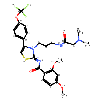 COc1ccc(C(=O)/N=c2\scc(-c3ccc(OC(F)(F)F)cc3)n2CCCNC(=O)CN(C)C)c(OC)c1